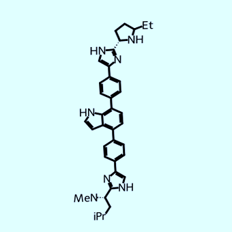 CCC1CC[C@@H](c2nc(-c3ccc(-c4ccc(-c5ccc(-c6c[nH]c([C@H](CC(C)C)NC)n6)cc5)c5cc[nH]c45)cc3)c[nH]2)N1